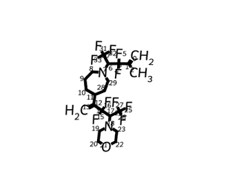 C=C(C)C(F)(F)C(N1CCCC(C(=C)C(F)(F)C(N2CCOCC2)C(F)(F)F)CC1)C(F)(F)F